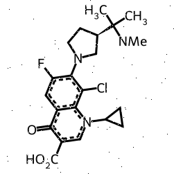 CNC(C)(C)[C@@H]1CCN(c2c(F)cc3c(=O)c(C(=O)O)cn(C4CC4)c3c2Cl)C1